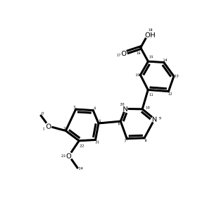 COc1ccc(-c2ccnc(-c3cccc(C(=O)O)c3)n2)cc1OC